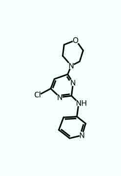 Clc1cc(N2CCOCC2)nc(Nc2cccnc2)n1